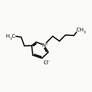 CCCCC[n+]1cccc(CCC)c1.[Cl-]